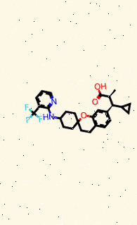 C[C@H](C(=O)O)[C@H](c1ccc2c(c1)OC1(CC2)CCC(Nc2ncccc2C(F)(F)F)CC1)C1CC1